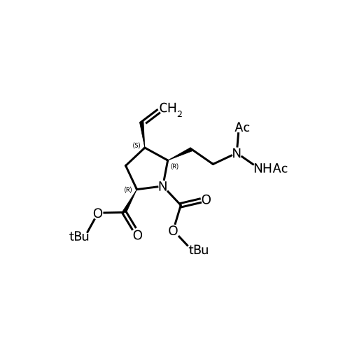 C=C[C@@H]1C[C@H](C(=O)OC(C)(C)C)N(C(=O)OC(C)(C)C)[C@@H]1CCN(NC(C)=O)C(C)=O